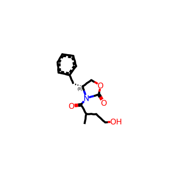 CC(CCO)C(=O)N1C(=O)OC[C@H]1Cc1ccccc1